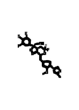 COc1cc(/C=C2\OC(F)(F)CN3C2=NO[C@]3(CO)c2cc(F)c(F)c(F)c2)ccc1-n1cnc(C)c1